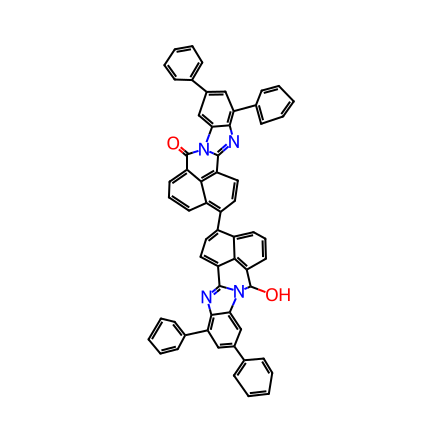 O=c1c2cccc3c(-c4ccc5c6c(cccc46)C(O)n4c-5nc5c(-c6ccccc6)cc(-c6ccccc6)cc54)ccc(c32)c2nc3c(-c4ccccc4)cc(-c4ccccc4)cc3n12